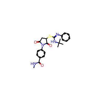 CNC(=O)c1ccc(N2C(=O)CC(S/C(=N/c3ccccc3)NC(C)(C)C)C2=O)cc1